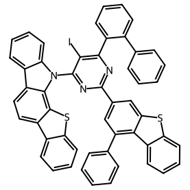 Ic1c(-c2ccccc2-c2ccccc2)nc(-c2cc(-c3ccccc3)c3c(c2)sc2ccccc23)nc1-n1c2ccccc2c2ccc3c4ccccc4sc3c21